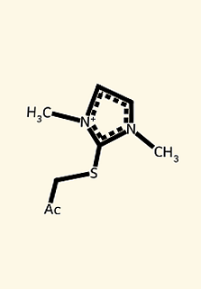 CC(=O)CSc1n(C)cc[n+]1C